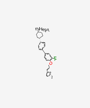 CCCCCCC[C@H]1CC[C@H](c2ccc(-c3ccc(OCC=CC(F)(F)F)c(F)c3)cc2)CC1